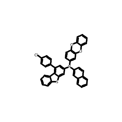 Clc1ccc(-c2cc(N(c3ccc4c(c3)Oc3ccccc3O4)c3ccc4ccccc4c3)cc3sc4ccccc4c23)cc1